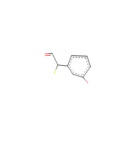 O=[C]C(S)c1cccc(O)c1